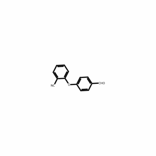 N#Cc1ccccc1Oc1ccc(C=O)cc1